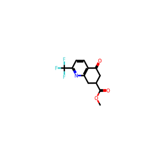 COC(=O)C1CC(=O)c2ccc(C(F)(F)F)nc2C1